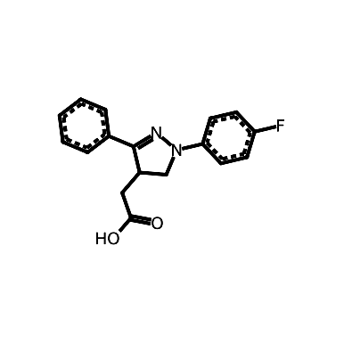 O=C(O)CC1CN(c2ccc(F)cc2)N=C1c1ccccc1